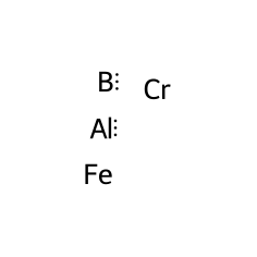 [Al].[B].[Cr].[Fe]